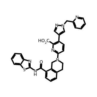 O=C(Nc1nc2ccccc2s1)c1cccc2c1CN(c1ccc(-c3cnn(Cc4ccccn4)c3)c(C(=O)O)n1)CC2